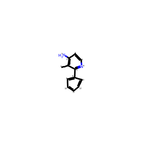 Cc1c(N)ccnc1-c1ccccc1